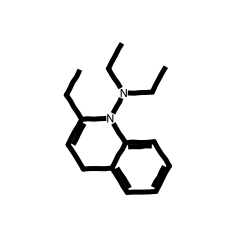 CCC1=CCc2ccccc2N1N(CC)CC